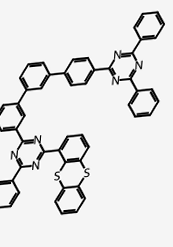 c1ccc(-c2nc(-c3ccccc3)nc(-c3ccc(-c4cccc(-c5cccc(-c6nc(-c7ccccc7)nc(-c7cccc8c7Sc7ccccc7S8)n6)c5)c4)cc3)n2)cc1